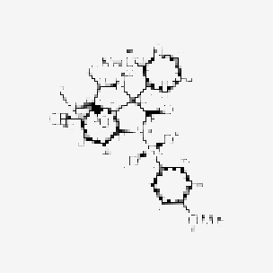 COc1ccc(S(=O)(=O)N2C(=O)C(c3cccnc3OC)(N(C)C(C)C(=O)N(C)C)c3cc(Cl)ccc32)cc1